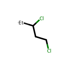 C[CH]C(Cl)CCCl